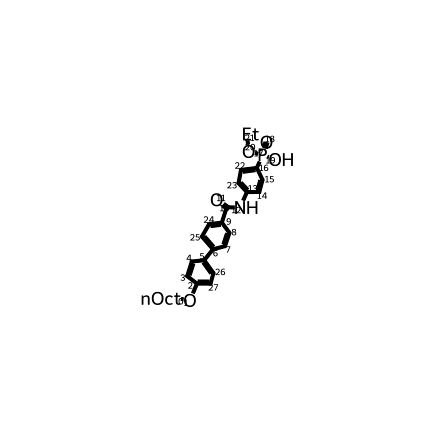 CCCCCCCCOc1ccc(-c2ccc(C(=O)Nc3ccc(P(=O)(O)OCC)cc3)cc2)cc1